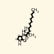 CCCCCCCCCCC(C)(C)C(=O)N[C@H]1CCNC1=O